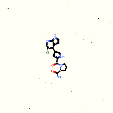 NC(=O)C1CCCN1C(=O)c1cc(-c2c(Cl)cnc3[nH]ccc23)c[nH]1